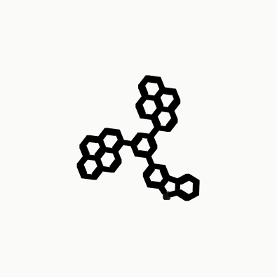 c1cc2ccc3ccc(-c4cc(-c5ccc6oc7ccccc7c6c5)cc(-c5ccc6ccc7cccc8ccc5c6c78)c4)c4ccc(c1)c2c34